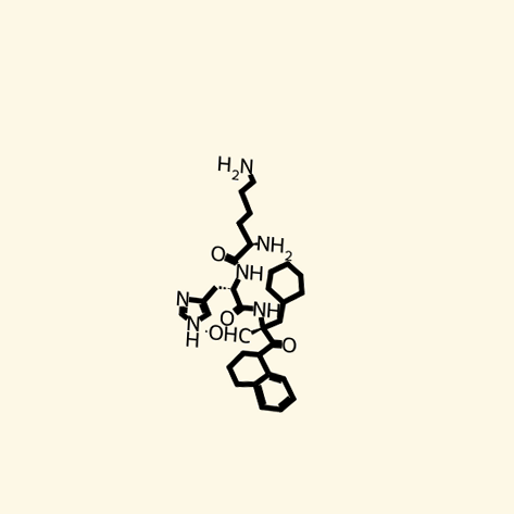 NCCCC[C@H](N)C(=O)N[C@@H](Cc1c[nH]cn1)C(=O)N[C@]([C]=O)(CC1CCCCC1)C(=O)C1CCCc2ccccc21